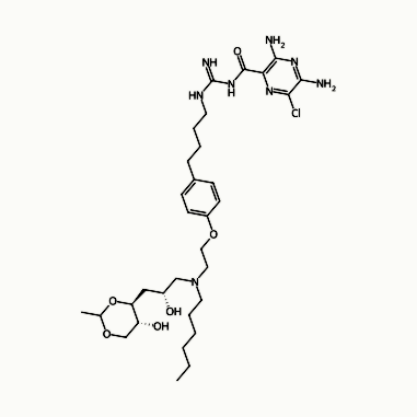 CCCCCCN(CCOc1ccc(CCCCNC(=N)NC(=O)c2nc(Cl)c(N)nc2N)cc1)C[C@H](O)C[C@@H]1OC(C)OC[C@H]1O